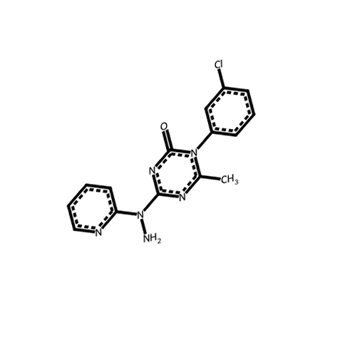 Cc1nc(N(N)c2ccccn2)nc(=O)n1-c1cccc(Cl)c1